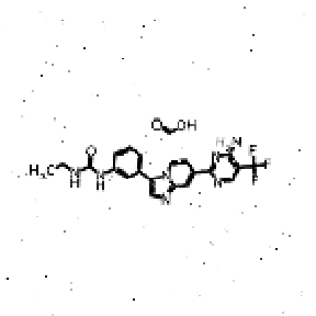 CCNC(=O)Nc1cccc(-c2cnc3cc(-c4ncc(C(F)(F)F)c(N)n4)ccn23)c1.O=CO